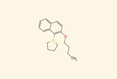 CCCCOc1ccc2ccccc2c1[S+]1CCCC1